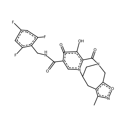 Cc1noc2c1CC1CN(C2)C(=O)c2c(O)c(=O)c(C(=O)NCc3c(F)cc(F)cc3F)cn21